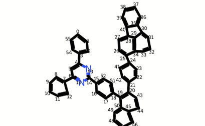 c1ccc(-c2cc(-c3ccccc3)nc(-c3ccc(-c4c(-c5ccc(-c6ccc7c8c(cccc68)-c6ccccc6-7)cc5)ccc5ccccc45)cc3)n2)cc1